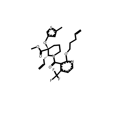 C=CCCCOc1nccc(C(F)(F)F)c1C(=O)N1CCC[C@@](Oc2csc(C)c2)(C(=O)OC)[C@H]1CC=C